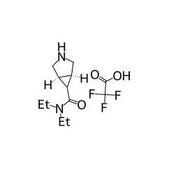 CCN(CC)C(=O)C1[C@H]2CNC[C@@H]12.O=C(O)C(F)(F)F